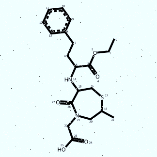 CCOC(=O)C(CCc1ccccc1)NC1CSC(C)CN(CC(=O)O)C1=O